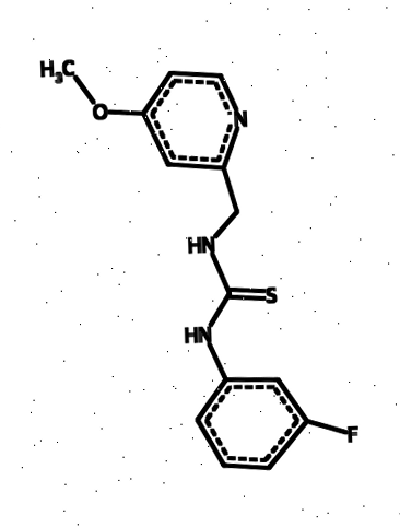 COc1ccnc(CNC(=S)Nc2cccc(F)c2)c1